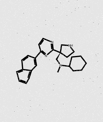 CN(C[C@]1(c2nccc(-c3ccc4ccccc4c3)n2)CCNC1)C1CCCCC1